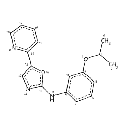 CC(C)Oc1cccc(Nc2ncc(-c3ccccn3)o2)c1